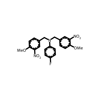 COc1ccc(CN(Cc2ccc(OC)c([N+](=O)[O-])c2)c2ccc(F)cc2)cc1[N+](=O)[O-]